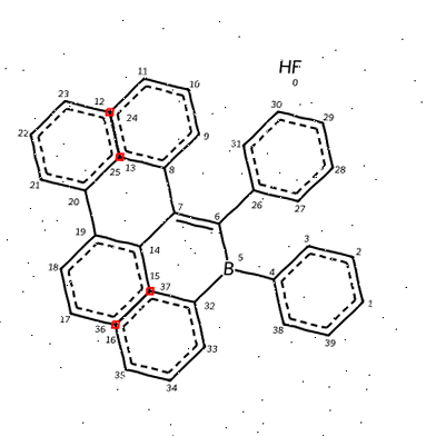 F.c1ccc(B(C(=C(c2ccccc2)c2ccccc2-c2ccccc2)c2ccccc2)c2ccccc2)cc1